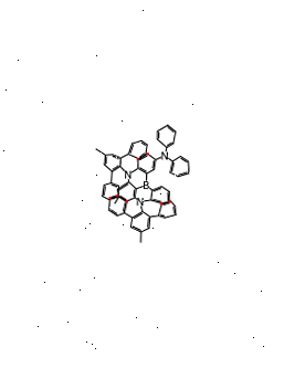 Cc1cc(-c2ccccc2)c(N2c3ccccc3B3c4cc(N(c5ccccc5)c5ccccc5)ccc4N(c4c(-c5ccccc5)cc(C)cc4-c4ccccc4)c4cc(C)cc2c43)c(-c2ccccc2)c1